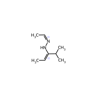 C/C=N\N/C(=C\C)C(C)C